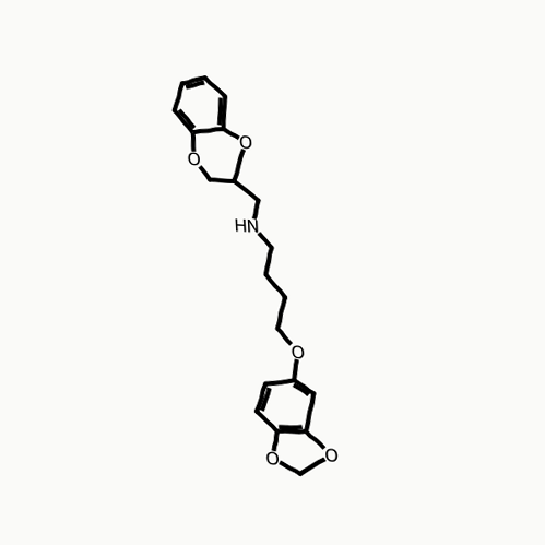 c1ccc2c(c1)OCC(CNCCCCOc1ccc3c(c1)OCO3)O2